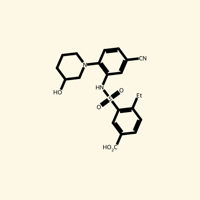 CCc1ccc(C(=O)O)cc1S(=O)(=O)Nc1cc(C#N)ccc1N1CCCC(O)C1